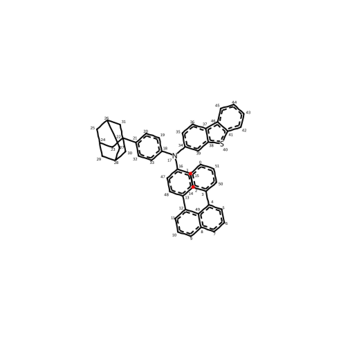 c1ccc(-c2cccc3cccc(-c4ccc(N(c5ccc(C67CC8CC(CC(C8)C6)C7)cc5)c5ccc6c(c5)sc5ccccc56)cc4)c23)cc1